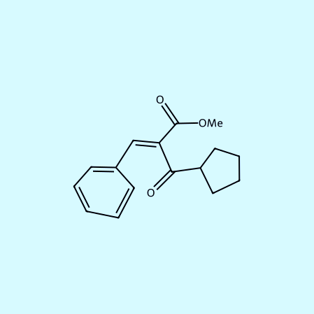 COC(=O)C(=Cc1ccccc1)C(=O)C1CCCC1